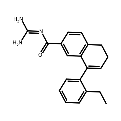 CCc1ccccc1C1=CCCc2ccc(C(=O)N=C(N)N)cc21